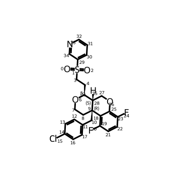 O=S(=O)(CC[C@@H]1OCC[C@@]2(Cc3ccc(Cl)cc3)c3c(F)ccc(F)c3OC[C@@H]12)c1cccnc1